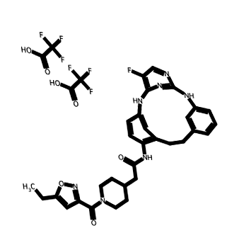 CCc1cc(C(=O)N2CCC(CC(=O)Nc3ccc4cc3CCc3cccc(c3)Nc3ncc(F)c(n3)N4)CC2)no1.O=C(O)C(F)(F)F.O=C(O)C(F)(F)F